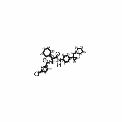 O=C(NC(C(=O)Nc1ccc(C2(CN3CCCC3)CC2)cc1)C1CCCCC1)c1ccc(Cl)s1